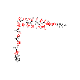 O=[C-]O.O=[C-]O.O=[C-]O.O=[C-]O.O=[C-]O.O=[C-]O.O=[C-]O.O=[C-]O.O=[C-]O.O=[C-]O.[Al+3].[Al+3].[Al+3].[Ca+2].[Ca+2].[Ca+2].[OH-].[OH-].[OH-].[OH-].[OH-]